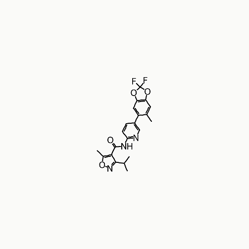 Cc1cc2c(cc1-c1ccc(NC(=O)c3c(C(C)C)noc3C)nc1)OC(F)(F)O2